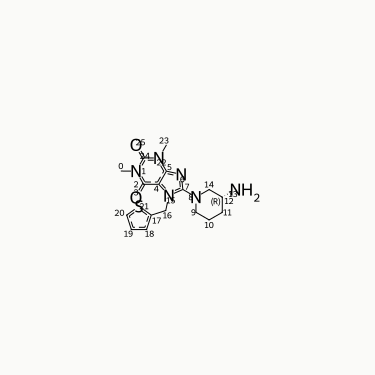 Cn1c(=O)c2c(nc(N3CCC[C@@H](N)C3)n2Cc2cccs2)n(C)c1=O